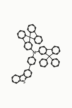 c1ccc(C2(c3ccccc3)c3ccccc3-c3ccc(N(c4ccc(-c5ccc6sc7ccccc7c6c5)cc4)c4ccc5c(c4)C4(c6ccccc6-c6ccccc64)c4ccccc4-5)cc32)cc1